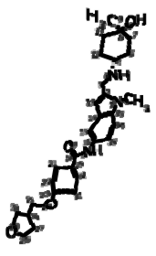 Cn1c(CN[C@H]2CC[C@@](C)(O)CC2)cc2cc(NC(=O)c3ccc(OCC4CCOC4)cc3)ccc21